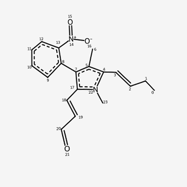 CCC=Cc1c(C)c(-c2ccccc2[N+](=O)[O-])c(C=CC=O)n1C